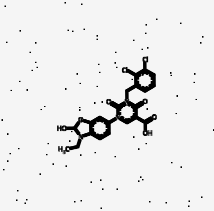 CCN1c2ccc(-n3cc(C(=O)O)c(=O)n(Cc4cccc(Cl)c4Cl)c3=O)cc2OC1O